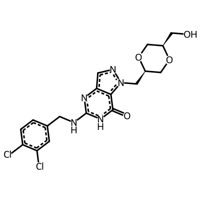 O=c1[nH]c(NCc2ccc(Cl)c(Cl)c2)nc2cnn(C[C@@H]3CO[C@H](CO)CO3)c12